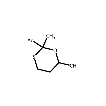 CC(=O)C1(C)OC(C)CCS1